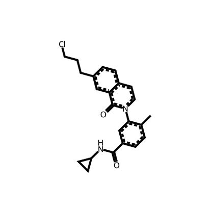 Cc1ccc(C(=O)NC2CC2)cc1-n1ccc2ccc(CCCCl)cc2c1=O